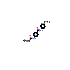 CCCCCC(=O)Nc1ccc(C(=O)Nc2ccc(C(=O)O)cc2)cc1